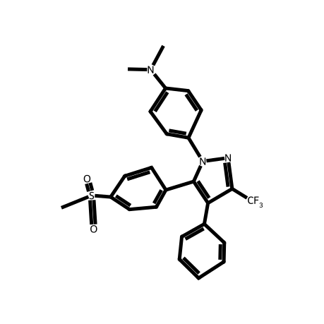 CN(C)c1ccc(-n2nc(C(F)(F)F)c(-c3ccccc3)c2-c2ccc(S(C)(=O)=O)cc2)cc1